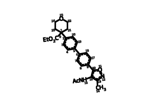 CCOC(=O)C1(c2ccc(-c3ccc(-c4onc(C)c4NC(C)=O)cc3)cc2)CCOCC1